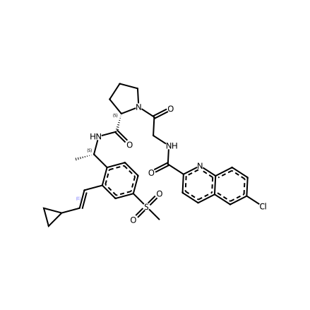 C[C@H](NC(=O)[C@@H]1CCCN1C(=O)CNC(=O)c1ccc2cc(Cl)ccc2n1)c1ccc(S(C)(=O)=O)cc1/C=C/C1CC1